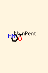 C1CCNCC1.CCCCCC(=O)CC